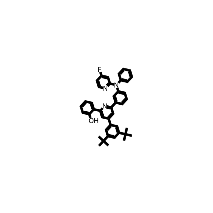 CC(C)(C)c1cc(-c2cc(-c3cccc(N(c4ccccc4)c4cc(F)ccn4)c3)nc(-c3ccccc3O)c2)cc(C(C)(C)C)c1